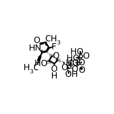 CC#Cc1[nH]c(=O)c(C)c(F)c1[C@@H]1O[C@H](COP(=O)(O)OP(=O)(O)OP(=O)(O)O)C(O)[C@@H]1O